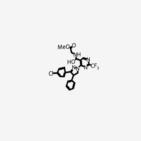 COC(=O)CNC(O)c1cnc(C(F)(F)F)nc1N1CC(c2ccccc2)C(c2ccc(Cl)cc2)=N1